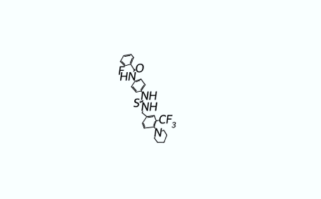 O=C(Nc1ccc(NC(=S)NCc2ccc(N3CCCCC3)c(C(F)(F)F)c2)cc1)c1ccccc1F